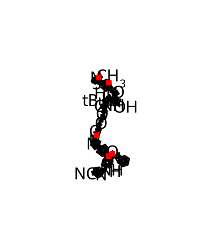 Cc1ncsc1-c1ccc(CNC(=O)[C@@H]2C[C@@H](O)CN2C(=O)[C@@H](NC(=O)COCCOCCOCCn2cc(-c3ccc(N(C(=O)NCc4ccccc4)[C@H]4CC[C@H](Nc5ccc(C#N)cn5)CC4)cc3)cn2)C(C)(C)C)cc1